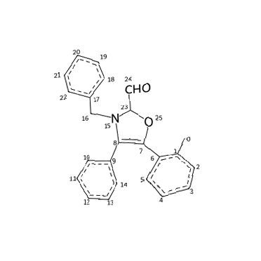 Cc1ccccc1C1=C(c2ccccc2)N(Cc2ccccc2)C(C=O)O1